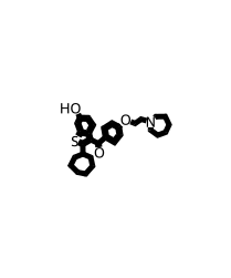 O=C(c1ccc(OCCN2CCCCCC2)cc1)c1c(C2CCCCCC2)sc2cc(O)ccc12